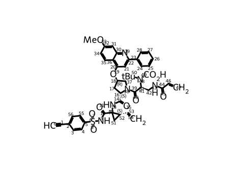 C#Cc1ccc(S(=O)(=O)NC(=O)[C@@]2(NC(=O)[C@@H]3C[C@@H](Oc4cc(-c5ccccc5)nc5cc(OC)ccc45)CN3C(=O)[C@H](CNC(=O)C=C)N(C(=O)O)C(C)(C)C)C[C@H]2C=C)cc1